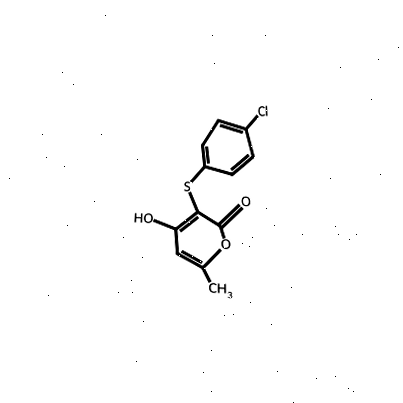 Cc1cc(O)c(Sc2ccc(Cl)cc2)c(=O)o1